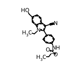 CCn1c(-c2ccc(NS(=O)(=O)CC)cc2)c(C#N)c2ccc(CO)cc21